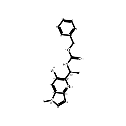 C[C@H](NC(=O)OCc1ccccc1)c1nc2ccn(C)c2cc1Br